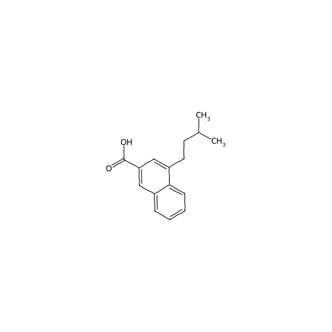 CC(C)CCc1cc(C(=O)O)cc2ccccc12